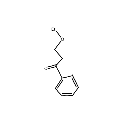 CCOCCC(=O)c1[c]cccc1